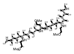 COCCNB(B(I)B(I)B(I)B(I)BI)B(I)B(I)B(I)B(I)B(I)BN(BB(I)B(I)B(I)B(I)B(I)B(NCCOC)B(I)B(I)B(I)B(I)BI)CCOC